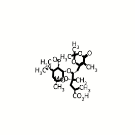 CO[C@](C)(C[C@@H](C)C(=O)O)[C@@H](CC1=C(C)C(=O)OC(C)(C)O1)O[C@@H]1O[C@H](C)CC(N(C)C)[C@H]1P=O